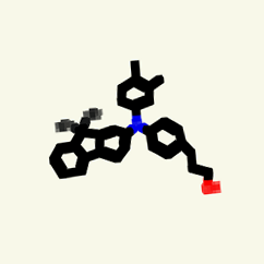 CCCC1(CCC)c2ccccc2-c2ccc(N(C3=C=C=C(CCCO)C=C3)C3=CC(C)=C(C)CC3)cc21